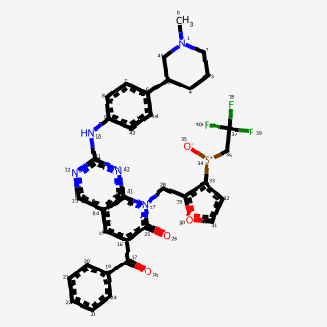 CN1CCCC(c2ccc(Nc3ncc4cc(C(=O)c5ccccc5)c(=O)n(Cc5occc5[S+]([O-])CC(F)(F)F)c4n3)cc2)C1